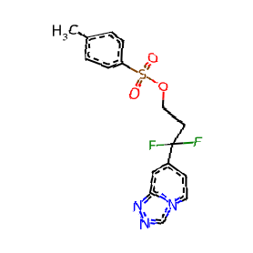 Cc1ccc(S(=O)(=O)OCCC(F)(F)c2ccn3cnnc3c2)cc1